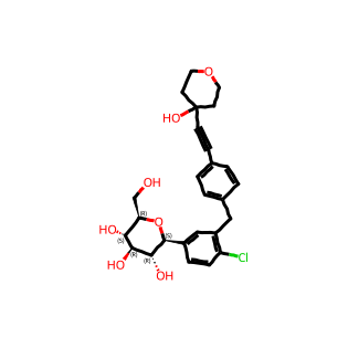 OC[C@H]1O[C@@H](c2ccc(Cl)c(Cc3ccc(C#CC4(O)CCOCC4)cc3)c2)[C@H](O)[C@@H](O)[C@@H]1O